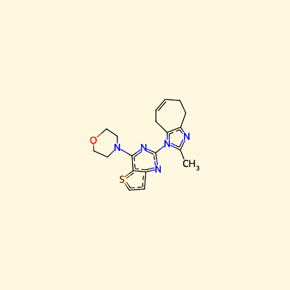 Cc1nc2c(n1-c1nc(N3CCOCC3)c3sccc3n1)CC=CCC2